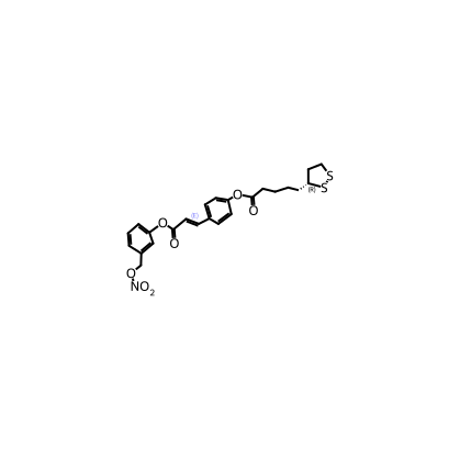 O=C(/C=C/c1ccc(OC(=O)CCCC[C@@H]2CCSS2)cc1)Oc1cccc(CO[N+](=O)[O-])c1